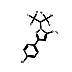 [2H]C([2H])([2H])C(n1nc(-c2ccc(Br)cc2)cc1N)C(F)(F)F